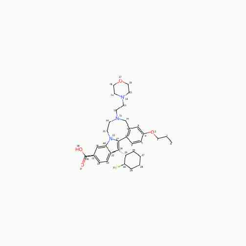 CCCOc1ccc2c(c1)CN(CCN1CCOCC1)CCn1c-2c([C@@H]2CCCC[C@H]2F)c2ccc(C(=O)O)cc21